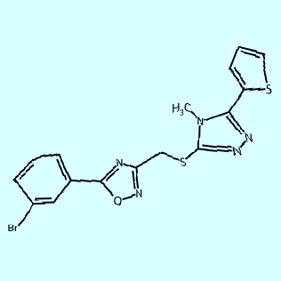 Cn1c(SCc2noc(-c3cccc(Br)c3)n2)nnc1-c1cccs1